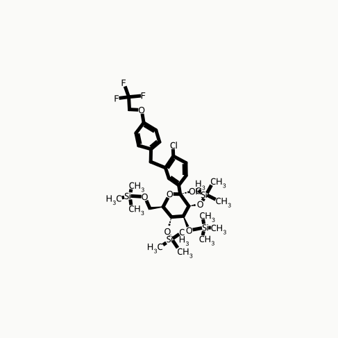 C[Si](C)(C)OC[C@H]1O[C@@](O)(c2ccc(Cl)c(Cc3ccc(OCC(F)(F)F)cc3)c2)[C@H](O[Si](C)(C)C)[C@@H](O[Si](C)(C)C)[C@@H]1O[Si](C)(C)C